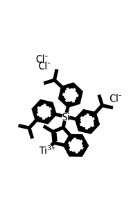 CC1=[C]([Ti+3])c2ccccc2C1[Si](c1cccc(C(C)C)c1)(c1cccc(C(C)C)c1)c1cccc(C(C)C)c1.[Cl-].[Cl-].[Cl-]